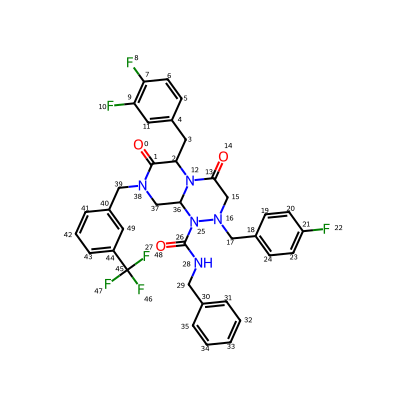 O=C1C(Cc2ccc(F)c(F)c2)N2C(=O)CN(Cc3ccc(F)cc3)N(C(=O)NCc3ccccc3)C2CN1Cc1cccc(C(F)(F)F)c1